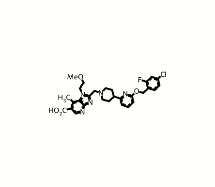 COCCn1c(CN2CCC(c3cccc(OCc4ccc(Cl)cc4F)n3)CC2)nc2ncc(C(=O)O)c(C)c21